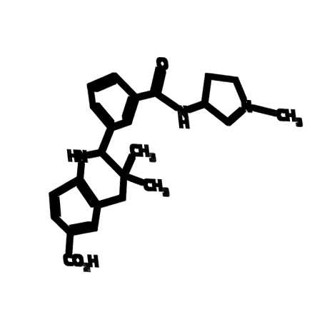 CN1CCC(NC(=O)c2cccc(C3Nc4ccc(C(=O)O)cc4CC3(C)C)c2)C1